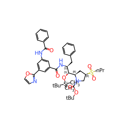 CCCS(=O)(=O)[C@@H]1C[C@H]([C@@H](O[Si](C)(C)C(C)(C)C)[C@H](Cc2ccccc2)NC(=O)c2cc(NC(=O)c3ccccc3)cc(-c3ncco3)c2)N(C(=O)OC(C)(C)C)C1